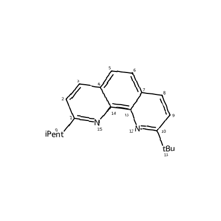 CCCC(C)c1ccc2ccc3ccc(C(C)(C)C)nc3c2n1